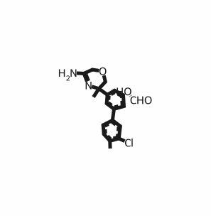 Cc1ccc(-c2cccc(C3(C)COCC(N)=N3)c2)cc1Cl.O=CO